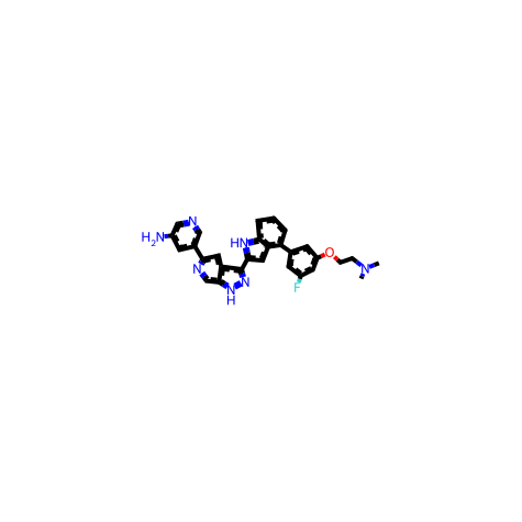 CN(C)CCOc1cc(F)cc(-c2cccc3[nH]c(-c4n[nH]c5cnc(-c6cncc(N)c6)cc45)cc23)c1